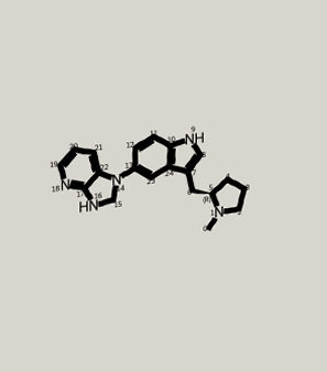 CN1CCC[C@@H]1Cc1c[nH]c2ccc(N3CNc4ncccc43)cc12